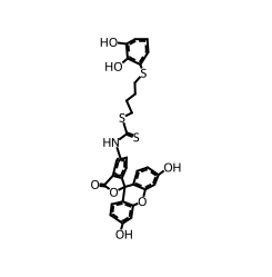 O=C1OC2(c3ccc(O)cc3Oc3cc(O)ccc32)c2ccc(NC(=S)SCCCCSc3cccc(O)c3O)cc21